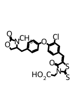 CN1C(=O)OCC1Cc1ccc(Oc2ccc(C=C3SC(=S)N(CC(=O)O)C3=O)cc2Cl)cc1